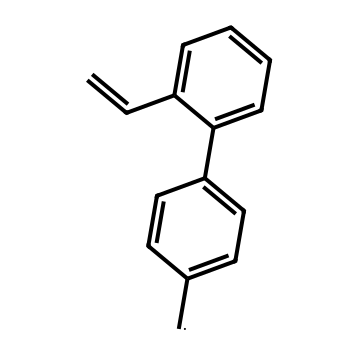 [CH2]c1ccc(-c2ccccc2C=C)cc1